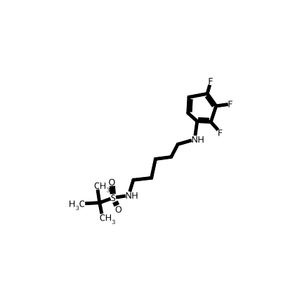 CC(C)(C)S(=O)(=O)NCCCCCNc1ccc(F)c(F)c1F